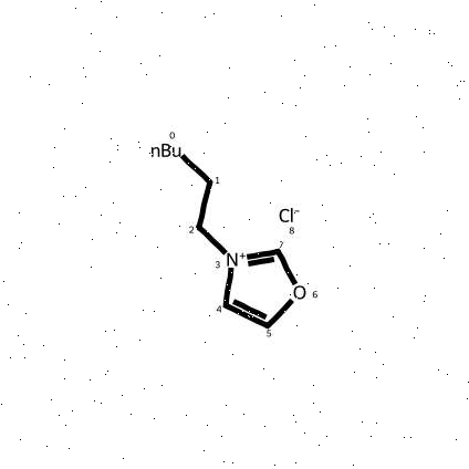 CCCCCC[n+]1ccoc1.[Cl-]